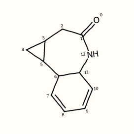 O=C1CC2CC2C2C=CC=CC2N1